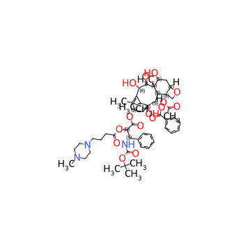 CC(=O)O[C@@]12CO[C@@H]1C[C@H](O)[C@@]1(C)C(=O)[C@H](O)C3=C(C)[C@@H](OC(=O)[C@H](OC(=O)CCCN4CCN(C)CC4)[C@@H](NC(=O)OC(C)(C)C)c4ccccc4)C[C@@](O)([C@@H](OC(=O)c4ccccc4)[C@H]21)C3(C)C